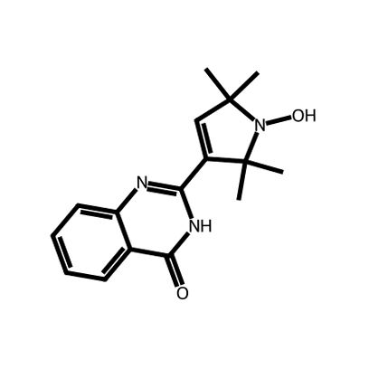 CC1(C)C=C(c2nc3ccccc3c(=O)[nH]2)C(C)(C)N1O